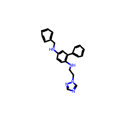 c1ccc(CNc2ccc(NCCn3cncn3)c(-c3ccccc3)c2)cc1